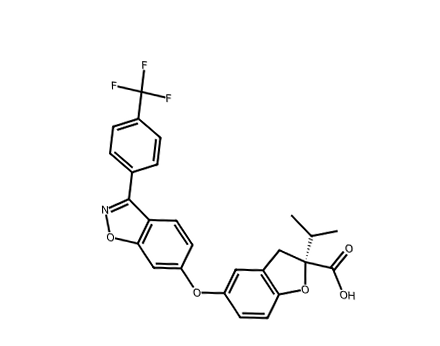 CC(C)[C@@]1(C(=O)O)Cc2cc(Oc3ccc4c(-c5ccc(C(F)(F)F)cc5)noc4c3)ccc2O1